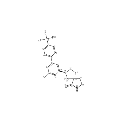 Cc1cc(-c2ccc(C(F)(F)F)cc2)cc([C@H]2CC[C@@]3(CCNC3=O)N2)n1